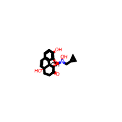 O=C1CC[C@@]2(O)C=Cc3ccc(O)c4c3[C@@]2(CCN(O)CC2CC2)[C@H]1O4